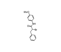 COc1ccc(NC(=O)C(Br)Cc2ccccc2)cc1